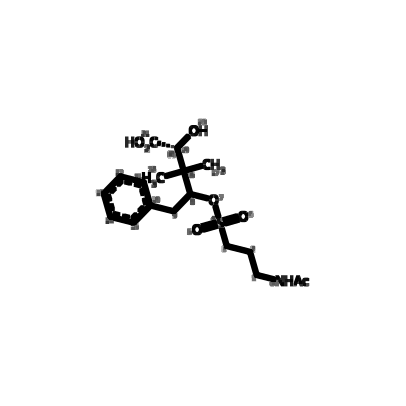 CC(=O)NCCCS(=O)(=O)OC(Cc1ccccc1)C(C)(C)[C@@H](O)C(=O)O